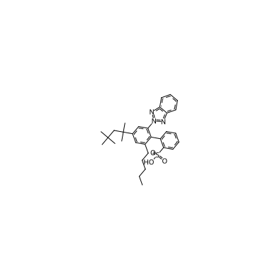 CCCCCc1cc(C(C)(C)CC(C)(C)C)cc(-n2nc3ccccc3n2)c1-c1ccccc1S(=O)(=O)O